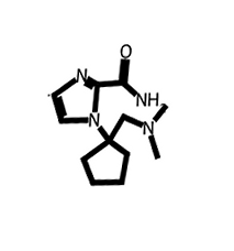 CN(C)CC1(n2c[c]nc2C(N)=O)CCCC1